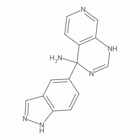 NC1(c2ccc3[nH]ncc3c2)N=CNc2cnccc21